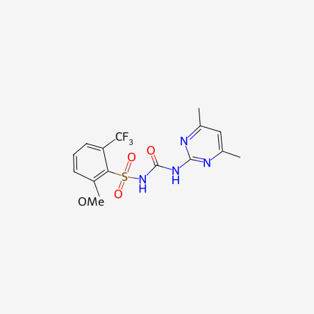 COc1cccc(C(F)(F)F)c1S(=O)(=O)NC(=O)Nc1nc(C)cc(C)n1